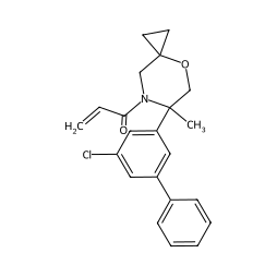 C=CC(=O)N1CC2(CC2)OCC1(C)c1cc(Cl)cc(-c2ccccc2)c1